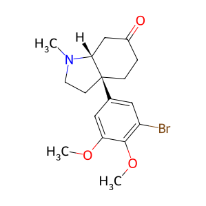 COc1cc([C@]23CCC(=O)C[C@H]2N(C)CC3)cc(Br)c1OC